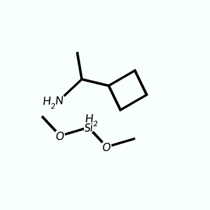 CC(N)C1CCC1.CO[SiH2]OC